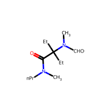 CCCN(C)C(=O)C(CC)(CC)N(C)[C]=O